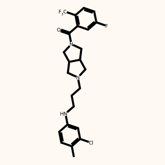 Cc1ccc(NCCCN2CC3CN(C(=O)c4cc(F)ccc4C(F)(F)F)CC3C2)cc1Cl